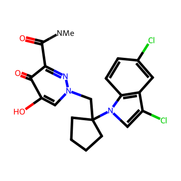 CNC(=O)c1nn(CC2(n3cc(Cl)c4cc(Cl)ccc43)CCCC2)cc(O)c1=O